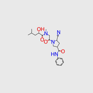 CC(C)CC(O)C(=O)N(C)CC(=O)N1CC(C(=O)Nc2ccccc2)CC1C#N